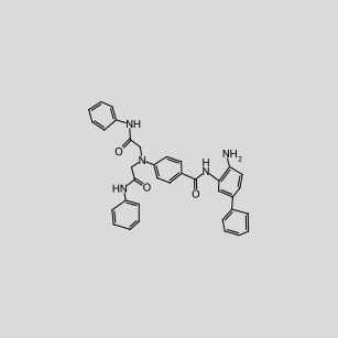 Nc1ccc(-c2ccccc2)cc1NC(=O)c1ccc(N(CC(=O)Nc2ccccc2)CC(=O)Nc2ccccc2)cc1